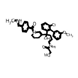 CNCc1ccc(C(=O)N2CCCC(C(O)(CCCNC(=O)CO)c3cccc(Cl)c3-c3cccc(OC)c3)C2)cc1